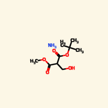 COC(=O)C(CO)C(=O)OC(C)(C)C.N